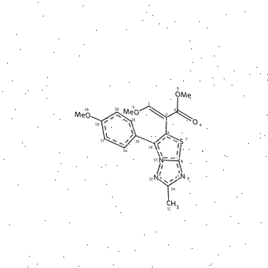 CO/C=C(/C(=O)OC)c1sc2nc(C)nn2c1-c1ccc(OC)cc1